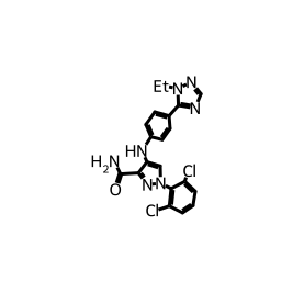 CCn1ncnc1-c1ccc(Nc2cn(-c3c(Cl)cccc3Cl)nc2C(N)=O)cc1